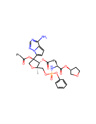 CC(C)C(=O)O[C@@H]1[C@@](C)(CO[P@@](=O)(N[C@@H](C)C(=O)O[C@H]2CCOC2)Oc2ccccc2)OC[C@]1(OC(=O)C(C)C)c1ccc2c(N)ncnn12